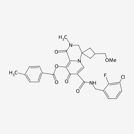 COCC1CC2(C1)CN(C)C(=O)c1c(OC(=O)c3ccc(C)cc3)c(=O)c(C(=O)NCc3cccc(Cl)c3F)cn12